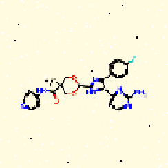 CC1(C(=O)Nc2ccncc2)COC(c2nc(-c3ccc(F)cc3)c(-c3ccnc(N)n3)[nH]2)OC1